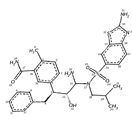 Cc1ccc([C@H](Cc2ccccc2)[C@@H](O)C(N)N(CC(C)C)S(=O)(=O)c2ccc3nc(N)sc3c2)cc1C(N)=O